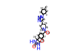 Cc1ccc(-n2cc(C3CCN(C(=O)c4ccc(C5(C)NC(=O)NC5=O)cc4)CC3)nn2)cc1